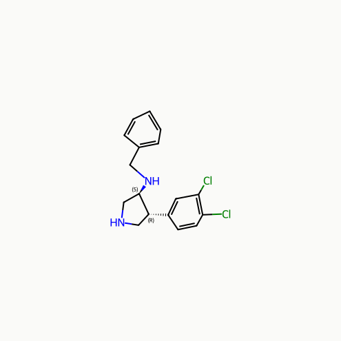 Clc1ccc([C@@H]2CNC[C@H]2NCc2ccccc2)cc1Cl